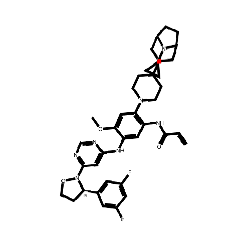 C=CC(=O)Nc1cc(Nc2cc(N3OCC[C@@H]3c3cc(F)cc(F)c3)ncn2)c(OC)cc1N1CCC(N2CC3CCC(C2)N3C2CC2)CC1